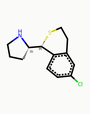 Clc1ccc2c(c1)CCS[C@H]2[C@@H]1CCCN1